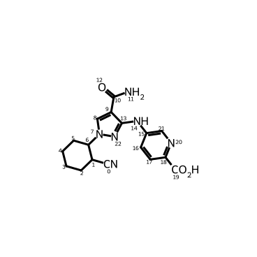 N#CC1CCCCC1n1cc(C(N)=O)c(Nc2ccc(C(=O)O)nc2)n1